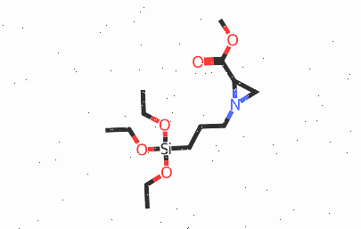 CCO[Si](CCCN1CC1C(=O)OC)(OCC)OCC